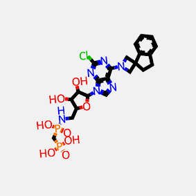 O=P(O)(O)CP(=O)(O)NCC1OC(n2cnc3c(N4CC5(CCc6ccccc65)C4)nc(Cl)nc32)C(O)C1O